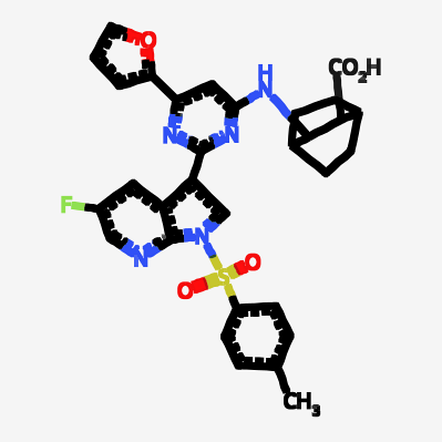 Cc1ccc(S(=O)(=O)n2cc(-c3nc(NC4C5CCC(CC5)C4C(=O)O)cc(-c4ccco4)n3)c3cc(F)cnc32)cc1